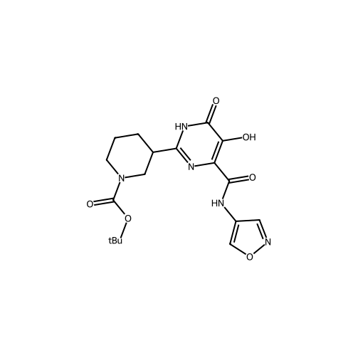 CC(C)(C)OC(=O)N1CCCC(c2nc(C(=O)Nc3cnoc3)c(O)c(=O)[nH]2)C1